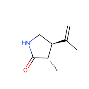 C=C(C)[C@@H]1CNC(=O)[C@H]1C